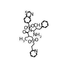 CC(CS(=O)(=O)CCc1ccccn1)C(=O)N([C@H](N)[C@@H](C)Cc1ccccc1)S(=O)(=O)c1ccc2scnc2c1